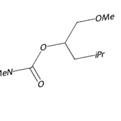 CNC(=O)OC(COC)CC(C)C